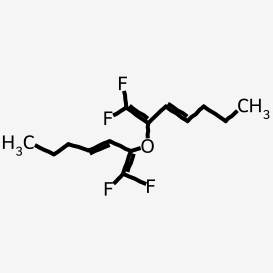 CCCC=CC(OC(C=CCCC)=C(F)F)=C(F)F